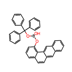 OB(Oc1cccc2ccc3cc4ccccc4cc3c12)OC(c1ccccc1)(c1ccccc1)c1ccccc1